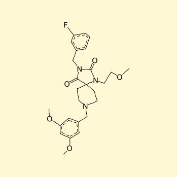 COCCN1C(=O)N(Cc2cccc(F)c2)C(=O)C12CCN(Cc1cc(OC)cc(OC)c1)CC2